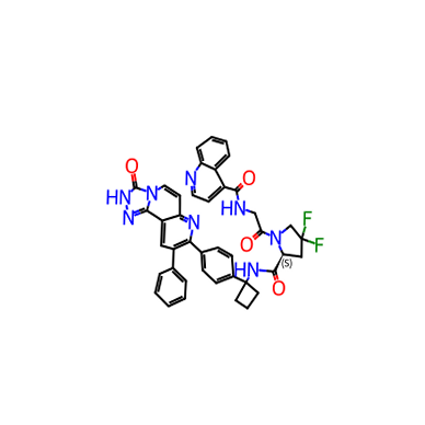 O=C(NCC(=O)N1CC(F)(F)C[C@H]1C(=O)NC1(c2ccc(-c3nc4ccn5c(=O)[nH]nc5c4cc3-c3ccccc3)cc2)CCC1)c1ccnc2ccccc12